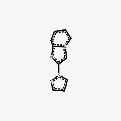 c1ccn2cc(-n3cccn3)nc2c1